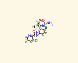 C[C@]1(c2cc(NC(=O)c3ncc(F)cc3Cl)ccc2F)N=C(N)OCC1(F)F